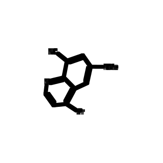 CNc1cc(C#N)c2nccc(C(C)C)c2c1